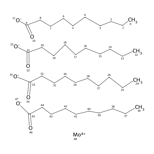 CCCCCCCCCC(=O)[O-].CCCCCCCCCC(=O)[O-].CCCCCCCCCC(=O)[O-].CCCCCCCCCC(=O)[O-].[Mo+4]